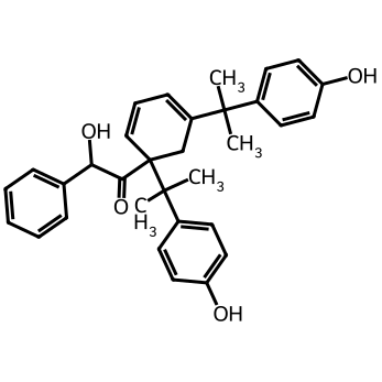 CC(C)(C1=CC=CC(C(=O)C(O)c2ccccc2)(C(C)(C)c2ccc(O)cc2)C1)c1ccc(O)cc1